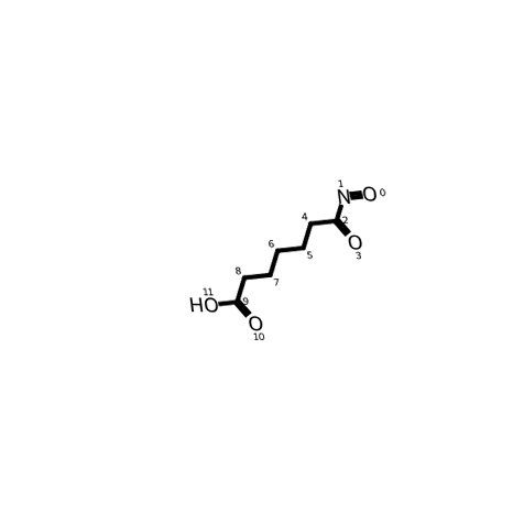 O=NC(=O)CCCCCC(=O)O